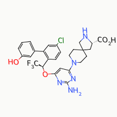 Nc1nc(O[C@H](c2ccc(Cl)cc2-c2cccc(O)c2)C(F)(F)F)cc(N2CCC3(CC2)CN[C@H](C(=O)O)C3)n1